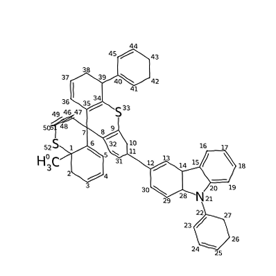 CC12CC=CC=C1C1(C3=C(CC(C4=CC5c6ccccc6N(C6=CC=CCC6)C5C=C4)C=C3)SC3=C1C=CCC3C1=CCCC=C1)C1C=CC=CC1S2